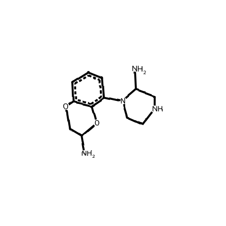 NC1COc2cccc(N3CCNCC3N)c2O1